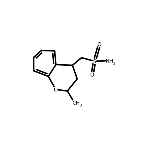 CC1CC(CS(N)(=O)=O)c2ccccc2O1